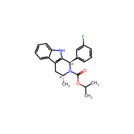 CC(C)OC(=O)N1[C@H](c2cccc(F)c2)c2[nH]c3ccccc3c2C[C@H]1C